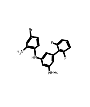 CC(=O)Nc1cc(Nc2ccc(Br)cc2N)cc(-c2c(F)cccc2F)c1